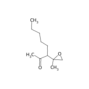 CCCCCC(C(C)=O)C1(C)CO1